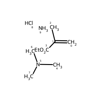 C=C(C)C(=O)OCC.CN(C)C.Cl.N